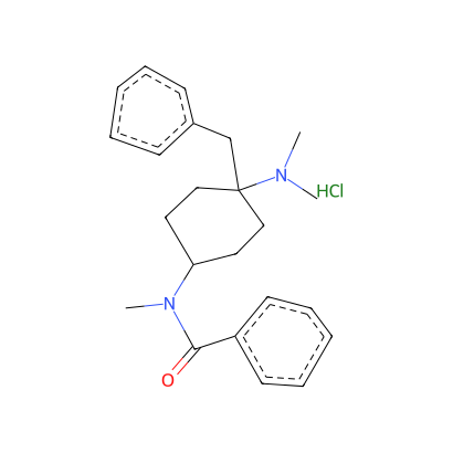 CN(C(=O)c1ccccc1)C1CCC(Cc2ccccc2)(N(C)C)CC1.Cl